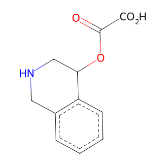 O=C(O)C(=O)OC1CNCc2ccccc21